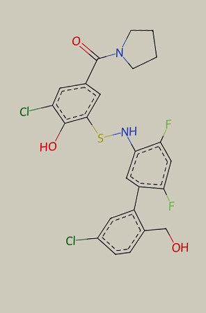 O=C(c1cc(Cl)c(O)c(SNc2cc(-c3cc(Cl)ccc3CO)c(F)cc2F)c1)N1CCCC1